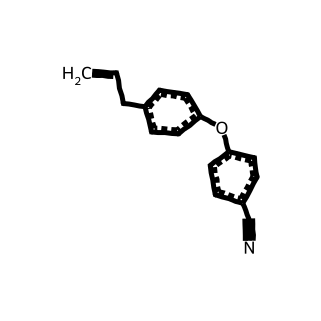 C=CCc1ccc(Oc2ccc(C#N)cc2)cc1